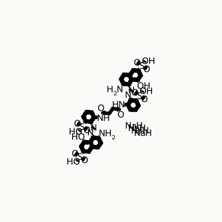 Nc1ccc2cc(S(=O)(=O)O)cc(O)c2c1/N=N/c1c(NC(=O)CCC(=O)Nc2cccc(S(=O)(=O)O)c2/N=N/c2c(N)ccc3cc(S(=O)(=O)O)cc(O)c23)cccc1S(=O)(=O)O.[NaH].[NaH].[NaH].[NaH]